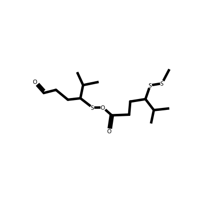 CSSC(CCC(=O)OSC(CCC=O)C(C)C)C(C)C